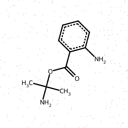 CC(C)(N)OC(=O)c1ccccc1N